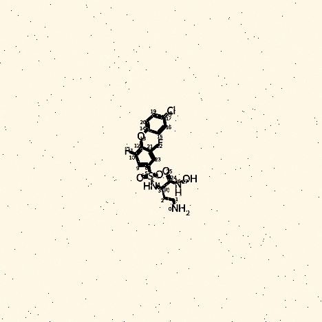 NCC[C@@H](NS(=O)(=O)c1cc(F)c(Oc2ccc(Cl)cc2)c(F)c1)C(=O)NO